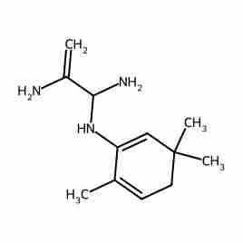 C=C(N)C(N)NC1=CC(C)(C)CC=C1C